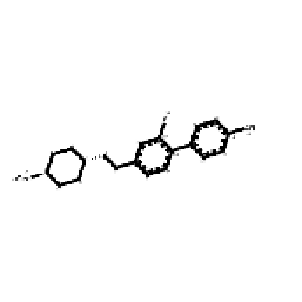 CCCCCCCCCC[C@H]1CC[C@H](CCc2ccc(-c3ccc(C#N)cc3)c(F)c2)CC1